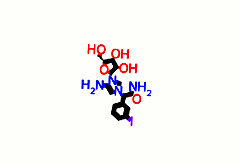 NC(=O)C(c1cccc(I)c1)N1C=C(N)N([C@@H]2O[C@H](CO)[C@@H](O)[C@H]2O)C1